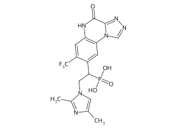 Cc1cn(CC(c2cc3c(cc2C(F)(F)F)[nH]c(=O)c2nncn23)P(=O)(O)O)c(C)n1